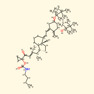 C=C1/C(=C\C=C2/CCC[C@]3(C)[C@@H]([C@H](C)/C=C/C(=O)C4(OC(=O)NCCCC)CC4)CC[C@@H]23)C[C@@H](O[Si](C)(C)C(C)(C)C)C[C@@H]1O[Si](C)(C)C(C)(C)C